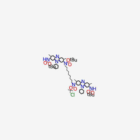 Cc1cc2nc3cc(C)c(N(CCCCCCCCCN(C(=O)OC(C)(C)CCl)c4cc5c(cc4C)nc4cc(C)c(NC(=O)OC(C)(C)C)cc4[n+]5-c4ccccc4)C(=O)OC(C)(C)C)cc3[n+](-c3ccccc3)c2cc1NC(=O)OC(C)(C)C